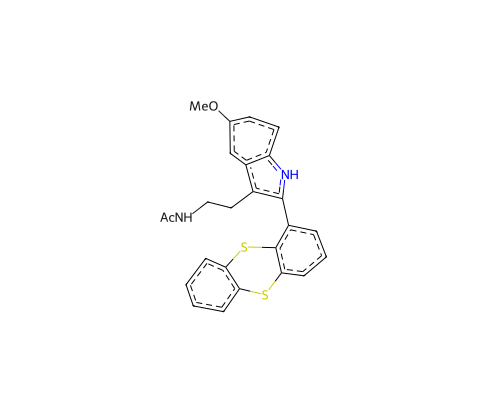 COc1ccc2[nH]c(-c3cccc4c3Sc3ccccc3S4)c(CCNC(C)=O)c2c1